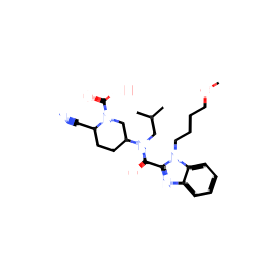 COCCCCn1c(C(=O)N(CC(C)C)C2CCC(C#N)N(C(=O)O)C2)nc2ccccc21